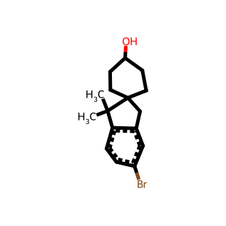 CC1(C)c2ccc(Br)cc2CC12CCC(O)CC2